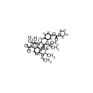 CCN(CC)c1ncc(N(C(=O)Cl)C(C)C)c(N[C@@H](Cc2ccc(OC(=O)N3CCCC3)cc2)C(=O)OC(C)(C)C)n1